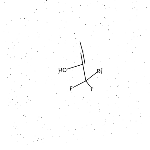 C/C=C(\O)[C](F)(F)[Rf]